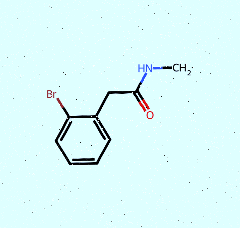 [CH2]NC(=O)Cc1ccccc1Br